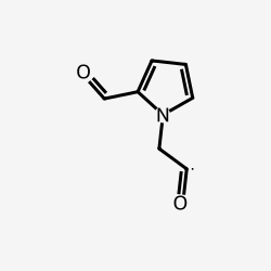 O=[C]Cn1cccc1C=O